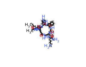 CCCC[C@H](NC(C)=O)C(=O)NC1CCC(=O)NCCC(C(=O)N[C@@H](CCCCN)C(N)=O)NC(=O)CNC(=O)C(Cc2ccccc2)NC(=O)[C@H](Cc2c[nH]cn2)NC1=O